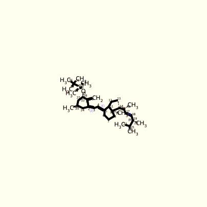 C=C1/C(=C\C=C2/CCC[C@@]3(C)C2CC[C@@H]3[C@H](C)/C=C/[C@H](C)C(C)C)C[C@@H](C)C[C@@H]1O[Si](C)(C)C(C)(C)C